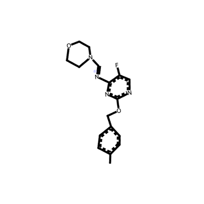 Cc1ccc(COc2ncc(F)c(/N=C/N3CCOCC3)n2)cc1